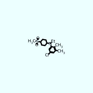 CCN(c1cc(Cl)cc(C)c1C)C1CCC(S(C)(=O)=O)CC1